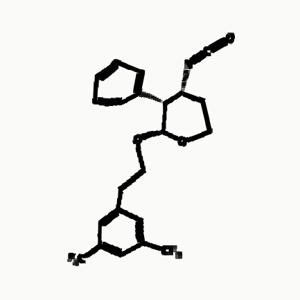 O=C=N[C@@H]1CCO[C@@H](OCCc2cc(C(F)(F)F)cc(C(F)(F)F)c2)[C@@H]1c1ccccc1